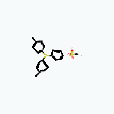 Cc1ccc([S+](c2ccccc2)c2ccc(C)cc2)cc1.O=S(=O)([O-])C(F)(F)F